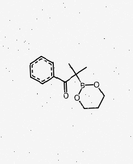 CC(C)(B1OCCCO1)C(=O)c1ccccc1